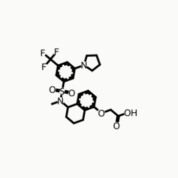 CN(C1CCCc2c(OCC(=O)O)cccc21)S(=O)(=O)c1cc(N2CCCC2)cc(C(F)(F)F)c1